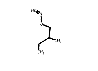 [CH]=NOCC(C)CC